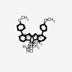 COc1ccc(-c2cccc3c2C=C(C)[CH]3[Zr]([CH3])([CH3])(=[SiH2])[CH]2C(C)=Cc3c(-c4ccc(OC)cc4)cccc32)cc1.Cl.Cl